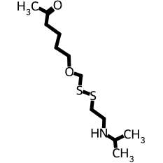 CC(=O)CCCCOCSSCCNC(C)C